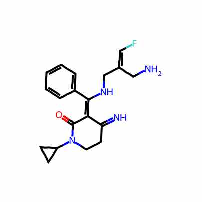 N=C1CCN(C2CC2)C(=O)/C1=C(/NC/C(=C/F)CN)c1ccccc1